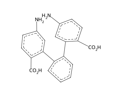 Nc1ccc(C(=O)O)c(-c2ccccc2-c2cc(N)ccc2C(=O)O)c1